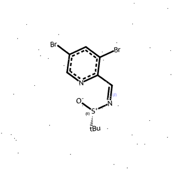 CC(C)(C)[S@+]([O-])/N=C\c1ncc(Br)cc1Br